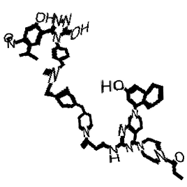 C=C(CCNc1nc2c(c(N3CCN(C(=O)CC)CC3)n1)CCN(c1cc(O)cc3ccccc13)C2)N1CCC(Cc2ccc(CN(C)Cc3ccc(-n4c(O)nnc4-c4cc(C(C)C)c(N=O)cc4O)cc3)cc2)CC1